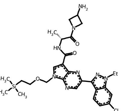 CCn1nc(-c2cnc3c(n2)c(C(=O)N[C@H](C)C(=O)N2CC(N)C2)cn3COCC[Si](C)(C)C)c2ccc(Cl)cc21